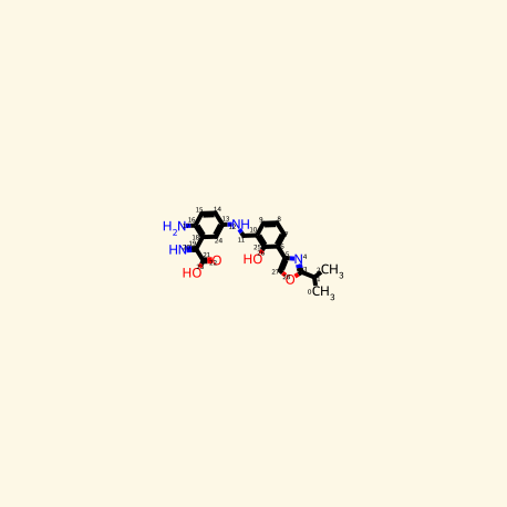 CC(C)c1nc(-c2cccc(CNc3ccc(N)c(C(=N)C(=O)O)c3)c2O)co1